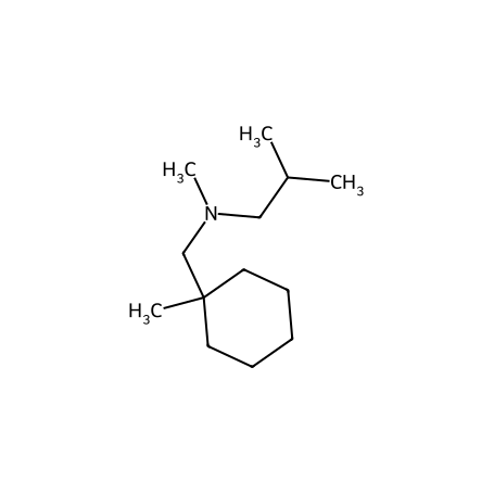 CC(C)CN(C)CC1(C)CCCCC1